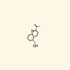 C=C(C)c1ccc2c(CO)cccc2n1